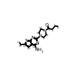 CCCC(=O)N1CCN(c2nc(N)c3cc(CC)sc3n2)CC1